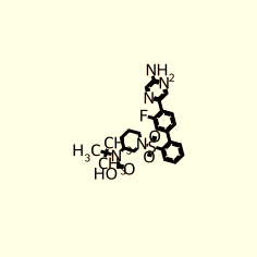 CC(C)(C)N(C(=O)O)C1CCCN(S(=O)(=O)c2ccccc2-c2ccc(-c3cnc(N)cn3)c(F)c2)C1